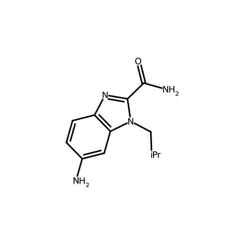 CC(C)Cn1c(C(N)=O)nc2ccc(N)cc21